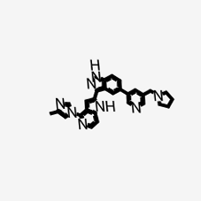 Cc1cn(-c2nccc3[nH]c(-c4n[nH]c5ccc(-c6cncc(CN7CCCC7)c6)cc45)cc23)cn1